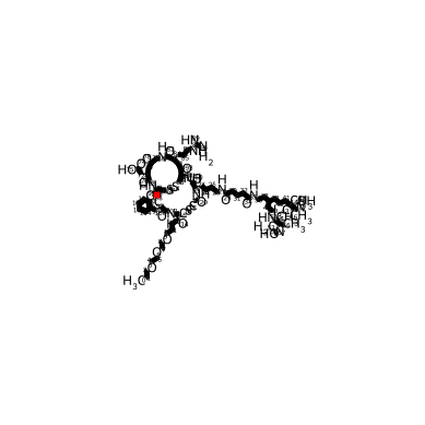 CCCOCCOCCOCCCC(=O)[C@@H]1CSCC(=O)N[C@@H](CCCCNC(=O)CCCC(=O)NCCC(CCCC(C)(C)/C(C)=N\O)CCNC(C)(C)/C(C)=N\O)C(=O)N[C@H]2CSSC[C@H](NC(=O)[C@H](CC(=O)O)CC(=O)CNC(=O)[C@H](CCCNC(=N)N)CC2=O)C(=O)C[C@@H](Cc2ccccc2)C(=O)N1